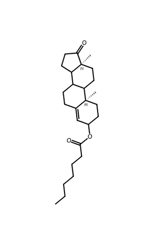 CCCCCCC(=O)OC1C=C2CCC3C(CC[C@]4(C)C(=O)CCC34)[C@@]2(C)CC1